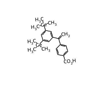 C=C(c1ccc(C(=O)O)cc1)c1c[c]([Ge]([CH3])([CH3])[CH3])c[c]([Ge]([CH3])([CH3])[CH3])c1